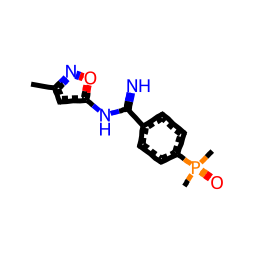 Cc1cc(NC(=N)c2ccc(P(C)(C)=O)cc2)on1